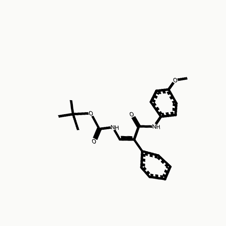 COc1ccc(NC(=O)/C(=C\NC(=O)OC(C)(C)C)c2ccccc2)cc1